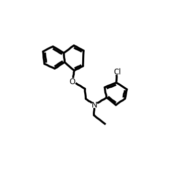 CCN(CCOc1cccc2ccccc12)c1cccc(Cl)c1